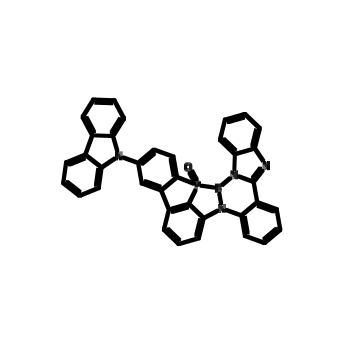 O=P12B3N(c4ccccc4-c4nc5ccccc5n43)c3cccc(c31)-c1cc(-n3c4ccccc4c4ccccc43)ccc12